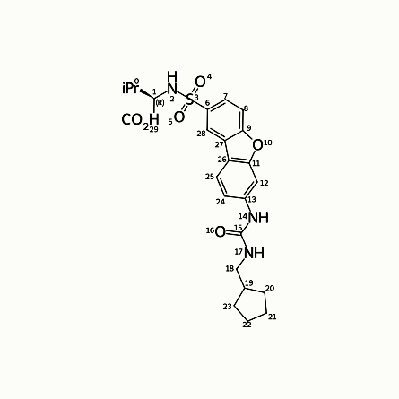 CC(C)[C@@H](NS(=O)(=O)c1ccc2oc3cc(NC(=O)NCC4CCCC4)ccc3c2c1)C(=O)O